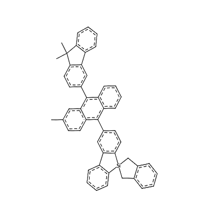 Cc1ccc2c(-c3ccc4c(c3)-c3ccccc3[Si]43Cc4ccccc4C3)c3ccccc3c(-c3ccc4c(c3)-c3ccccc3C4(C)C)c2c1